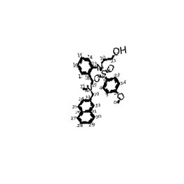 COc1ccc(S(=O)(=O)N(CCO)c2ccccc2CN(C)Cc2ccc3ccccc3c2)cc1